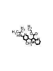 CCOC(=O)c1c(-c2cnc(NC(C)C)cc2C)nn2cccnc12